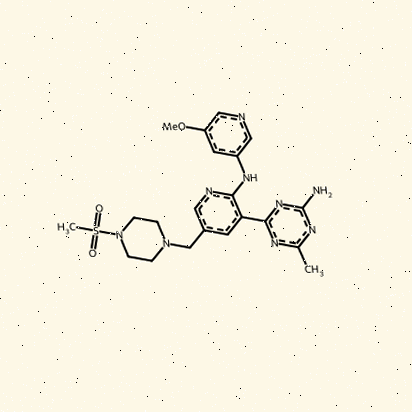 COc1cncc(Nc2ncc(CN3CCN(S(C)(=O)=O)CC3)cc2-c2nc(C)nc(N)n2)c1